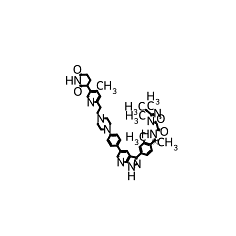 Cc1cc(CCN2CCN(c3ccc(-c4cnc5[nH]nc(-c6ccc([C@@H](C)NC(=O)c7nc(C(C)(C)C)no7)c(C)c6)c5c4)cc3)CC2)ncc1C1CCC(=O)NC1=O